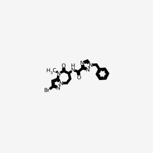 CN1C(=O)C(NC(=O)c2ncn(Cc3ccccc3)n2)CCn2nc(Br)cc21